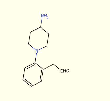 NC1CCN(c2ccccc2CC=O)CC1